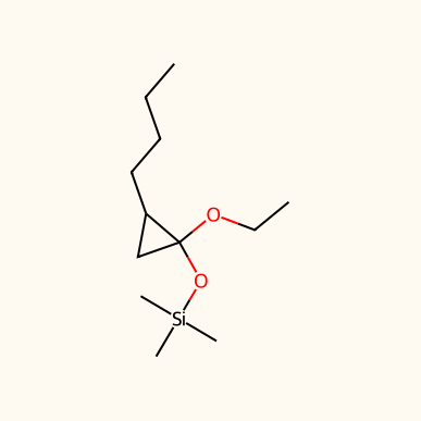 CCCCC1CC1(OCC)O[Si](C)(C)C